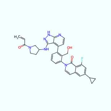 C=CC(=O)N1CCC(Nc2n[nH]c3nccc(-c4cccc(-n5ccc6cc(C7CC7)cc(F)c6c5=O)c4CO)c23)C1